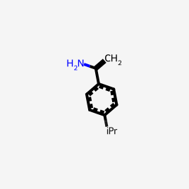 C=C(N)c1ccc(C(C)C)cc1